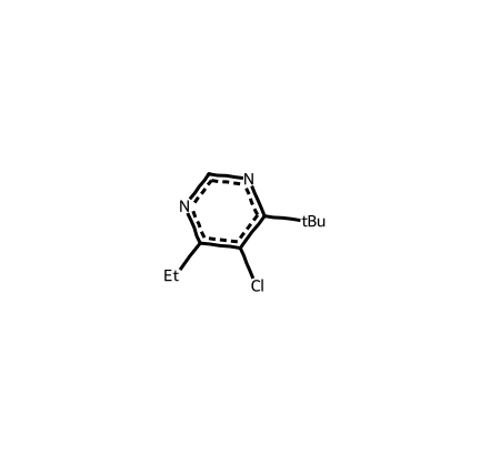 CCc1ncnc(C(C)(C)C)c1Cl